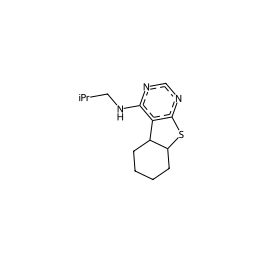 CC(C)CNc1ncnc2c1C1CCCCC1S2